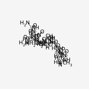 C=C(NC(Cc1cn(CC=O)c2ccccc12)C(=C)N(C)CC(=O)N(C)[C@@H](CCCC)C(=C)NC(CC(=O)O)C(=O)N[C@H](C=O)CSCC(=O)NC(Cc1ccccc1)C(=O)N1CCCCC1C(=O)N[C@@H](CC=O)C(=C)N1CCCC1C(=C)N[C@H](C)Cc1cnc[nH]1)C(CCCCN)NC(=C)[C@H](Cc1c[nH]c2ccccc12)NC(=O)C1CCCN1C(=O)C(CCCCN)NC=O